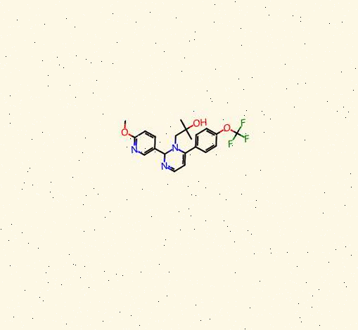 COc1ccc(C2N=CC=C(c3ccc(OC(F)(F)F)cc3)N2CC(C)(C)O)cn1